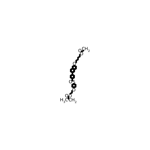 C=CC(=O)OCCCCCCOc1ccc2cc(-c3ccc(C(=O)Sc4ccc(OCCCOC(=O)C(=C)C)cc4)cc3)ccc2c1